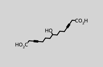 O=C(O)CC#CCCCC(O)CCCC#CCC(=O)O